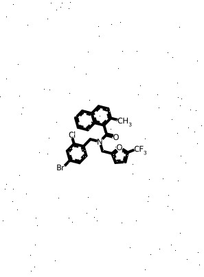 Cc1ccc2ccccc2c1C(=O)N(Cc1ccc(C(F)(F)F)o1)Cc1ccc(Br)cc1Cl